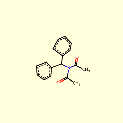 CC(=O)N(C(C)=O)C(c1ccccc1)c1ccccc1